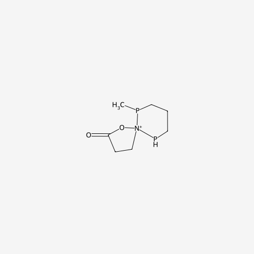 CP1CCCP[N+]12CCC(=O)O2